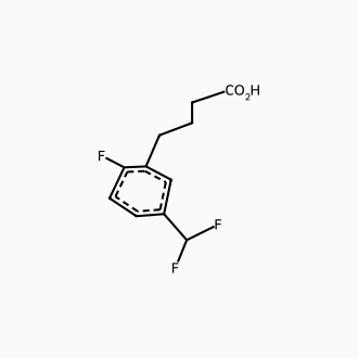 O=C(O)CCCc1cc(C(F)F)ccc1F